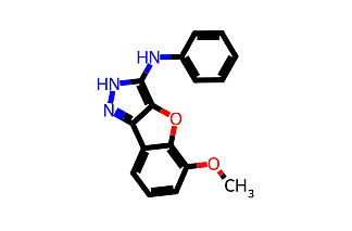 COc1cccc2c1oc1c(Nc3ccccc3)[nH]nc12